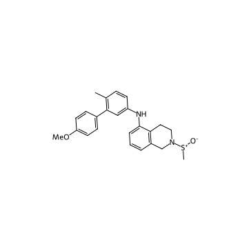 COc1ccc(-c2cc(Nc3cccc4c3CCN([S+](C)[O-])C4)ccc2C)cc1